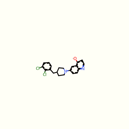 [O]c1ccnc2ccc(N3CCC(Cc4cccc(Cl)c4Cl)CC3)cc12